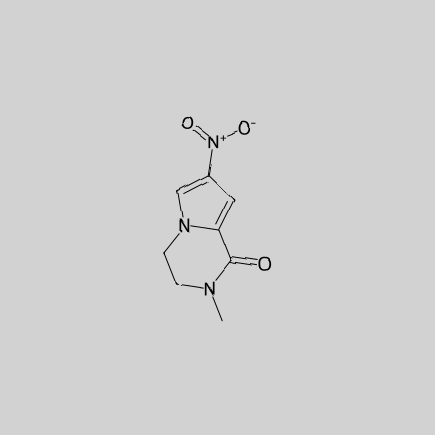 CN1CCn2cc([N+](=O)[O-])cc2C1=O